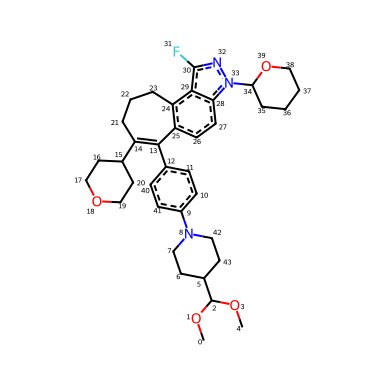 COC(OC)C1CCN(c2ccc(C3=C(C4CCOCC4)CCCc4c3ccc3c4c(F)nn3C3CCCCO3)cc2)CC1